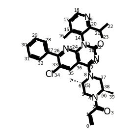 C=CC(=O)N1C[C@H](C)N(c2nc(=O)n(-c3c(C)ccnc3C(C)C)c3nc(-c4ccccc4)c(Cl)cc23)C[C@H]1C